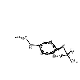 CCCCCCCNc1ccc(OC(C)(CC)C(=O)OCC)cc1